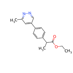 CCOC(=O)C(C)c1ccc(-c2cnnc(C)c2)cc1